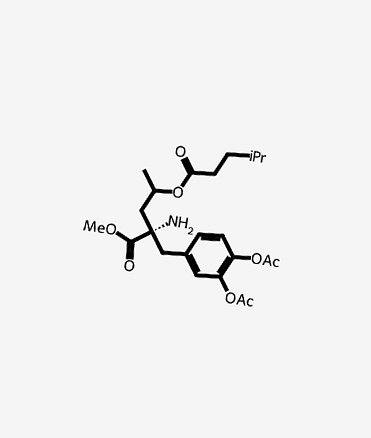 COC(=O)[C@](N)(Cc1ccc(OC(C)=O)c(OC(C)=O)c1)CC(C)OC(=O)CCC(C)C